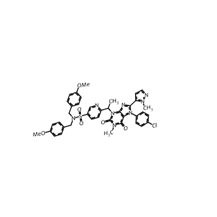 COc1ccc(CN(Cc2ccc(OC)cc2)S(=O)(=O)c2ccc(C(C)n3c(=O)n(C)c(=O)c4c3nc(-c3ccnn3C)n4-c3ccc(Cl)cc3)nc2)cc1